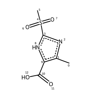 Cc1nc(S(C)(=O)=O)[nH]c1C(=O)O